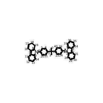 CC(C)(c1ccc(-n2c3c(c4ccccc42)C=CCC3)cc1)c1ccc(-n2c3ccccc3c3ccccc32)cc1